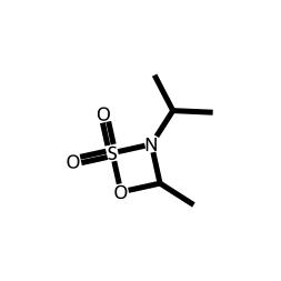 CC(C)N1C(C)OS1(=O)=O